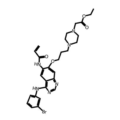 C=CC(=O)Nc1cc2c(Nc3cccc(Br)c3)ncnc2cc1OCCCN1CCN(CC(=O)OCC)CC1